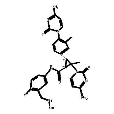 Cc1cc([C@H]2[C@H](C(=O)Nc3ccc(F)c(CNC=O)c3)C2(C)n2ccc(N)nc2=O)ccc1-n1ccc(N)nc1=O